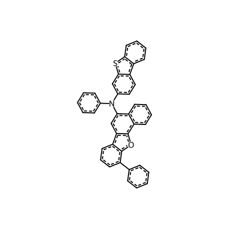 c1ccc(-c2cccc3c2oc2c4ccccc4c(N(c4ccccc4)c4ccc5c(c4)sc4ccccc45)cc32)cc1